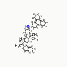 CC1(C)c2cc(Nc3ccc4c5ccccc5c5ccccc5c4c3)ccc2-c2cc3c(cc21)-c1c(ccc2ccccc12)C3(C)C